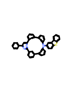 c1ccc(-c2cc3nc(n2)-c2cccc(c2)-c2cccc(c2)N(c2ccc4sc5ccccc5c4c2)c2cccc(c2)-c2cccc-3c2)cc1